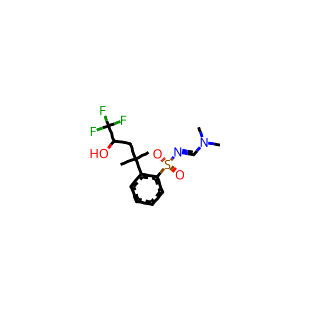 CN(C)/C=N/S(=O)(=O)c1ccccc1C(C)(C)CC(O)C(F)(F)F